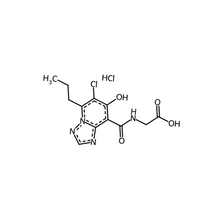 CCCc1c(Cl)c(O)c(C(=O)NCC(=O)O)c2ncnn12.Cl